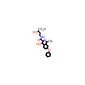 N#Cc1nc(C(=O)NCCC(O)C(=O)O)c(O)c2ccc(Oc3ccccc3)cc12